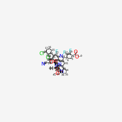 COC(=O)c1ccc(-c2nc3c(F)c(-c4cccc(Cl)c4Cl)c(CCC#N)cc3c3c2cc([C@H]2CCCN2C(=O)OC)n3[C@H]2[C@@H]3C[C@H]2N(C(=O)OC(C)(C)C)C3)c(F)c1F